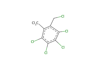 ClCc1c(Cl)c(Cl)c(Cl)c(Cl)c1C(Cl)(Cl)Cl